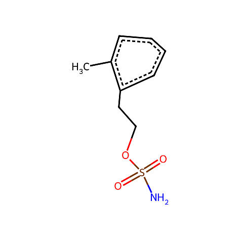 Cc1ccccc1CCOS(N)(=O)=O